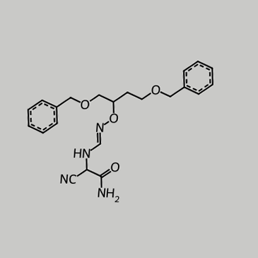 N#CC(NC=NOC(CCOCc1ccccc1)COCc1ccccc1)C(N)=O